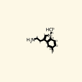 Cl.Cn1cc(CCN)c2cc(F)ccc21